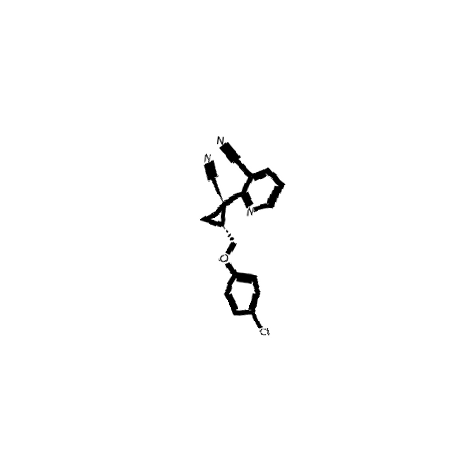 N#Cc1cccnc1[C@@]1(C#N)C[C@H]1COc1ccc(Cl)cc1